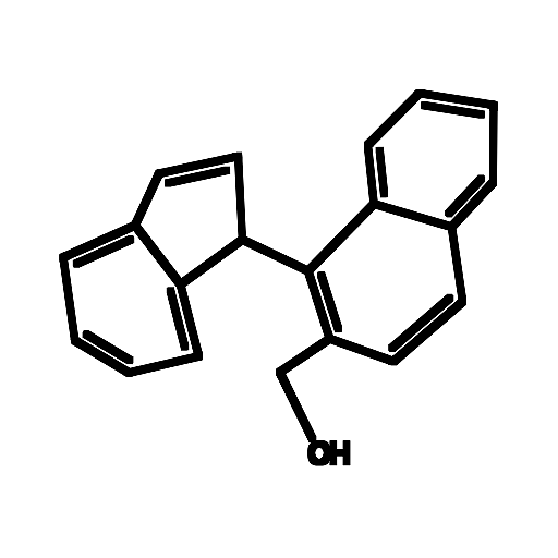 OCc1ccc2ccccc2c1C1C=Cc2ccccc21